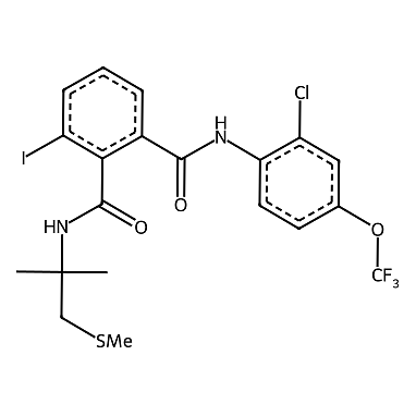 CSCC(C)(C)NC(=O)c1c(I)cccc1C(=O)Nc1ccc(OC(F)(F)F)cc1Cl